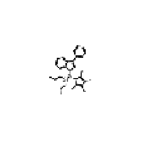 CCC[Si](CCC)=[Zr]([CH]1C(C)=C(C)C(C)=C1C)[CH]1C=C(c2ccccc2)c2ccccc21